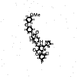 COC(=O)C1=C(CN2CCN3C(=O)N(c4ccc(Oc5ccc(OC)cc5)cc4)C[C@@H]3C2)NC(c2nccs2)=N[C@H]1c1ccc(F)cc1Cl